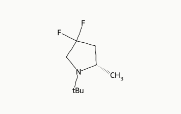 C[C@H]1CC(F)(F)CN1C(C)(C)C